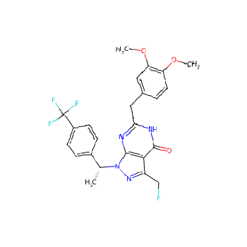 COc1ccc(Cc2nc3c(c(CF)nn3[C@H](C)c3ccc(C(F)(F)F)cc3)c(=O)[nH]2)cc1OC